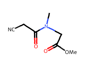 COC(=O)CN(C)C(=O)CC#N